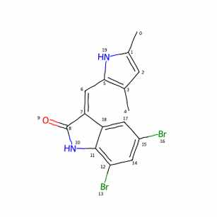 Cc1cc(C)c(C=C2C(=O)Nc3c(Br)cc(Br)cc32)[nH]1